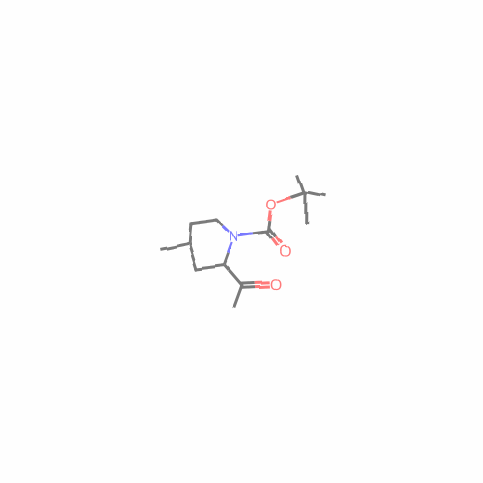 CC(=O)C1CC(C)CCN1C(=O)OC(C)(C)C